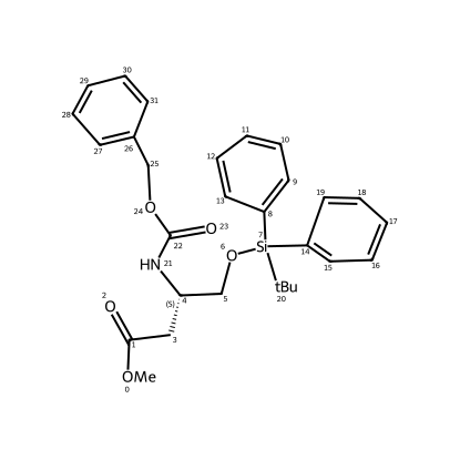 COC(=O)C[C@@H](CO[Si](c1ccccc1)(c1ccccc1)C(C)(C)C)NC(=O)OCc1ccccc1